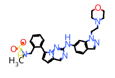 CN(Cc1ccccc1-c1ccc2cnc(Nc3ccc4cnn(CCN5CCOCC5)c4c3)nn12)[SH](=O)=O